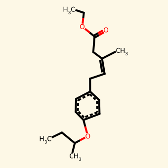 CCOC(=O)CC(C)=CCc1ccc(OC(C)CC)cc1